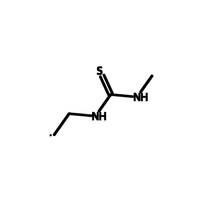 [CH2]CNC(=S)NC